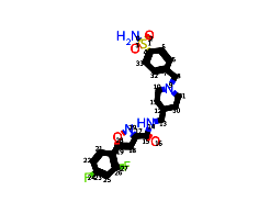 NS(=O)(=O)c1ccc(CN2CCC(CNC(=O)c3cc(-c4ccc(F)cc4F)on3)CC2)cc1